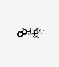 CCCC(C)CC(C)(CC(F)(F)F)NC(=O)c1cnc2ccccc2c1